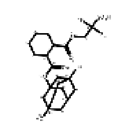 O=C(OCC(F)(F)S(=O)(=O)O)C1CCCCC1C(=O)OC12CC3CC(O)(CC(I)(C3)C1)C2